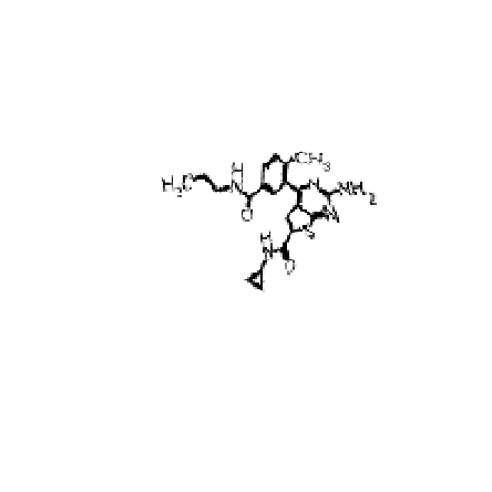 CCCNC(=O)c1ccc(C)c(-c2nc(N)nc3sc(C(=O)NC4CC4)cc23)c1